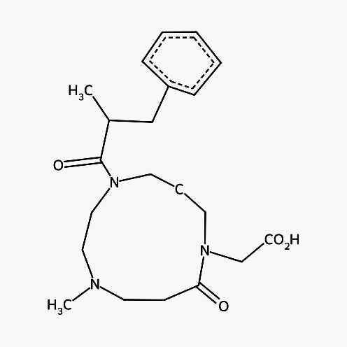 CC(Cc1ccccc1)C(=O)N1CCCN(CC(=O)O)C(=O)CCN(C)CC1